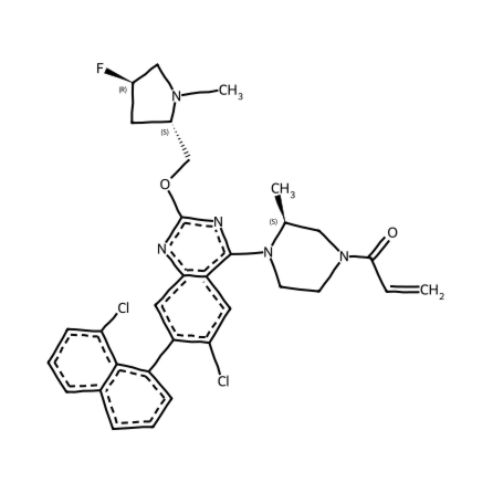 C=CC(=O)N1CCN(c2nc(OC[C@@H]3C[C@@H](F)CN3C)nc3cc(-c4cccc5cccc(Cl)c45)c(Cl)cc23)[C@@H](C)C1